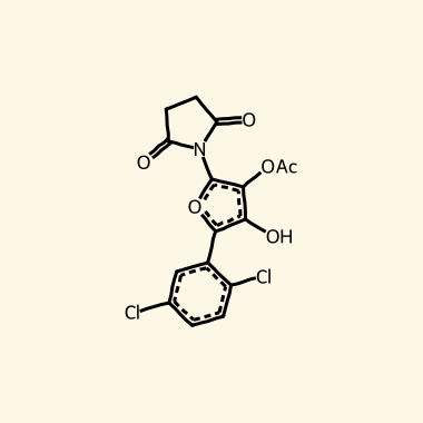 CC(=O)Oc1c(N2C(=O)CCC2=O)oc(-c2cc(Cl)ccc2Cl)c1O